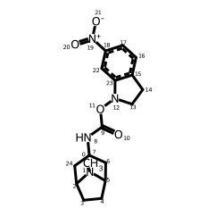 CN1C2CCC1CC(NC(=O)ON1CCc3ccc([N+](=O)[O-])cc31)C2